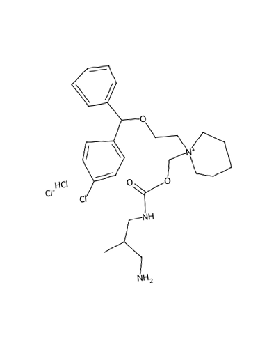 CC(CN)CNC(=O)OC[N+]1(CCOC(c2ccccc2)c2ccc(Cl)cc2)CCCCC1.Cl.[Cl-]